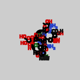 CN[C@H](CC(C)C)C(=O)N[C@H]1C(=O)C[C@@H](CC(N)=O)C(=O)N[C@H]2C(=O)C[C@H]3C(=O)N[C@H](C(=O)N[C@H](C(=O)O)c4cc(O)cc(O)c4-c4cc3ccc4O)[C@H](OC3CC(C)(N)C(O)C(C)O3)c3ccc(c(Cl)c3)Oc3cc2cc(c3OC2OC(CO)C(O)C(O)C2OC2CC(C)(NCc3ccc(-c4ccc(Cl)cc4)cc3)C(O)C(C)O2)Oc2ccc(cc2Cl)[C@H]1O